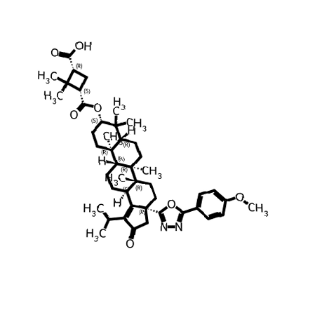 COc1ccc(-c2nnc([C@@]34CC[C@]5(C)[C@H](CC[C@@H]6[C@@]7(C)CC[C@H](OC(=O)[C@H]8C[C@@H](C(=O)O)C8(C)C)C(C)(C)[C@@H]7CC[C@]65C)C3=C(C(C)C)C(=O)C4)o2)cc1